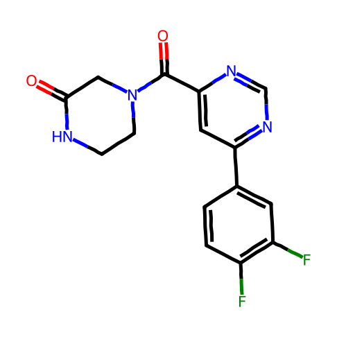 O=C1CN(C(=O)c2cc(-c3ccc(F)c(F)c3)ncn2)CCN1